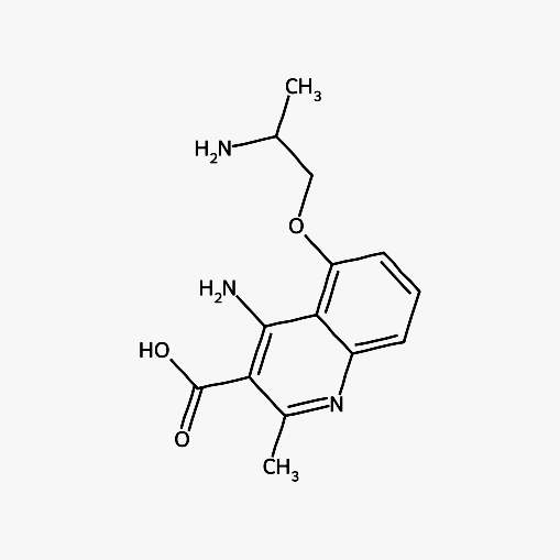 Cc1nc2cccc(OCC(C)N)c2c(N)c1C(=O)O